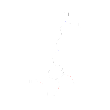 COc1cc(C=NCCCN(C)C)cc(OC)c1OC